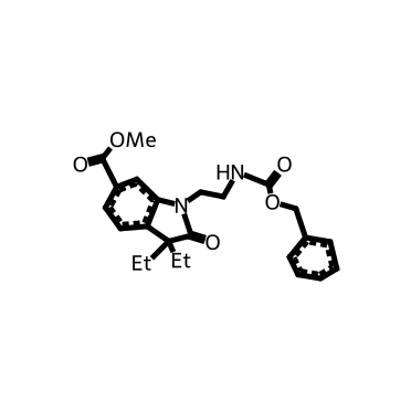 CCC1(CC)C(=O)N(CCNC(=O)OCc2ccccc2)c2cc(C(=O)OC)ccc21